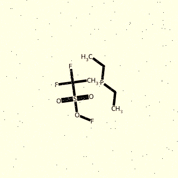 CC(F)(F)S(=O)(=O)OF.CC[P]CC